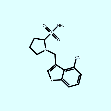 N#Cc1cccc2scc(CN3CCCC3S(N)(=O)=O)c12